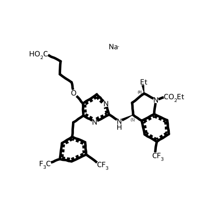 CCOC(=O)N1c2ccc(C(F)(F)F)cc2[C@@H](Nc2ncc(OCCCC(=O)O)c(Cc3cc(C(F)(F)F)cc(C(F)(F)F)c3)n2)C[C@H]1CC.[Na]